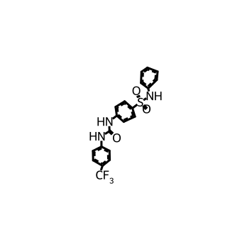 O=C(Nc1ccc(C(F)(F)F)cc1)Nc1ccc(S(=O)(=O)Nc2ccccc2)cc1